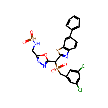 O=[SH](=O)NCc1nnc(C(c2nc3ccc(-c4ccccc4)cc3s2)S(=O)(=O)Cc2cc(Cl)cc(Cl)c2)o1